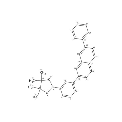 CC1(C)OB(c2cccc(-c3ccc4ccc(-c5ccccc5)cc4c3)c2)OC1(C)C